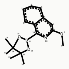 COc1cc2ccccc2c(B2OC(C)(C)C(C)(C)O2)n1